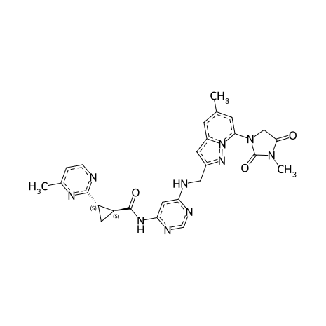 Cc1cc(N2CC(=O)N(C)C2=O)n2nc(CNc3cc(NC(=O)[C@H]4C[C@@H]4c4nccc(C)n4)ncn3)cc2c1